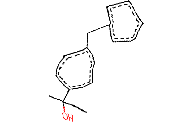 CC(C)(O)c1ccc(Cc2ccccc2)cc1